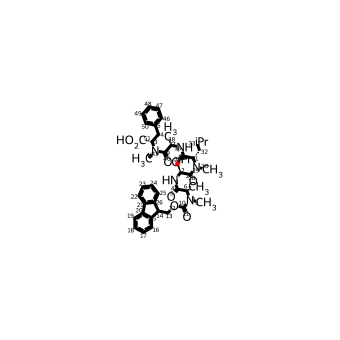 CC(C)C[C@H](NC(=O)[C@H](C)N(C)C(=O)OCC1c2ccccc2-c2ccccc21)C(=O)N(C)[C@@H](CC(C)C)C(=O)N[C@@H](C)C(=O)N(C)[C@@H](Cc1ccccc1)C(=O)O